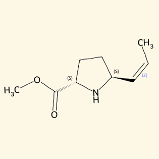 C/C=C\[C@@H]1CC[C@@H](C(=O)OC)N1